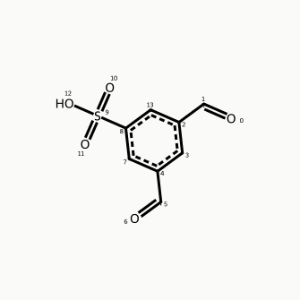 O=[C]c1cc([C]=O)cc(S(=O)(=O)O)c1